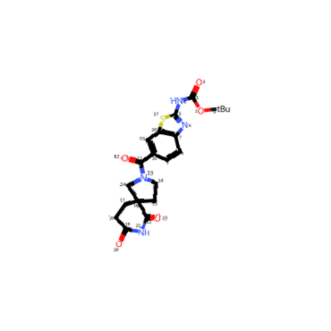 CC(C)(C)OC(=O)Nc1nc2ccc(C(=O)N3CCC4(CCC(=O)NC4=O)C3)cc2s1